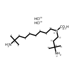 CC(C)(N)CCCCCCCN(CCC(C)(C)N)C(=O)O.Cl.Cl